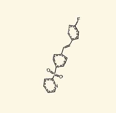 O=S(=O)(c1ccc(C=Cc2ccc(F)cc2)cc1)c1ccccn1